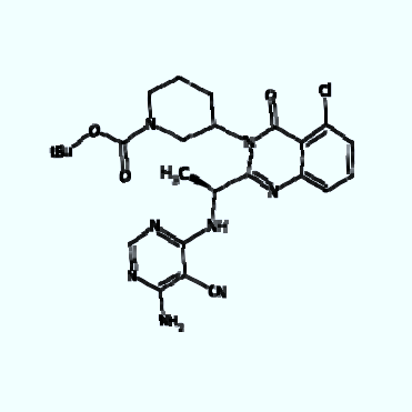 C[C@H](Nc1ncnc(N)c1C#N)c1nc2cccc(Cl)c2c(=O)n1C1CCCN(C(=O)OC(C)(C)C)C1